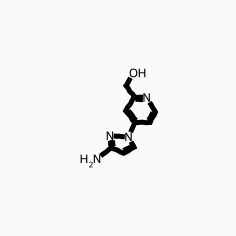 Nc1ccn(-c2ccnc(CO)c2)n1